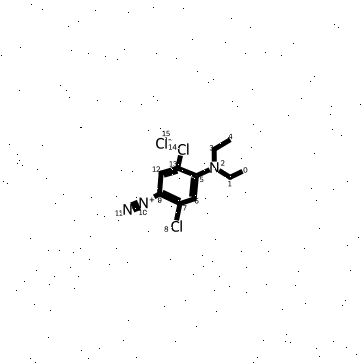 CCN(CC)c1cc(Cl)c([N+]#N)cc1Cl.[Cl-]